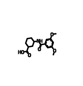 COc1cc(OC)cc(C(=O)NC2CCCC(C(=O)O)C2)c1